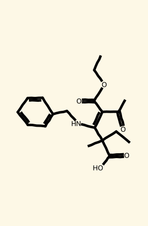 CCOC(=O)C(C(C)=O)=C(NCc1ccccc1)C(C)(CC)C(=O)O